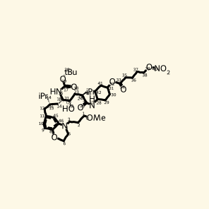 COCCCN1CCOc2ccc(C[C@@H](C[C@H](NC(=O)OC(C)(C)C)[C@@H](O)C[C@H](C(=O)NC3CCC(OC(=O)CCCCO[N+](=O)[O-])CC3)C(C)C)C(C)C)cc21